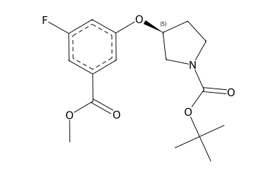 COC(=O)c1cc(F)cc(O[C@H]2CCN(C(=O)OC(C)(C)C)C2)c1